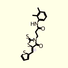 Cc1cccc(NC(=O)CCN2C(=O)/C(=C/c3cccs3)SC2=S)c1C